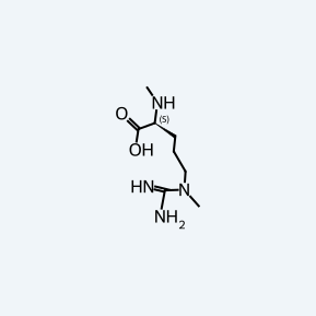 CN[C@@H](CCCN(C)C(=N)N)C(=O)O